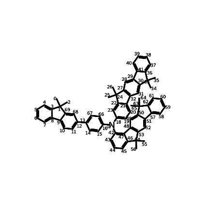 CC1(C)c2ccccc2-c2ccc(-c3ccc(N(c4ccc5c(c4)C(C)(C)c4cc6c(cc4-5)C(C)(C)c4ccccc4-6)c4cccc5c4-c4cc6c(cc4C5(C)C)-c4ccccc4C6(C)C)cc3)cc21